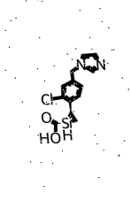 O=C(O)[Si@H]1C[C@@H]1c1ccc(Cn2ccnc2)cc1Cl